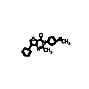 COc1ccc(-n2c(C)nc3c(-c4ccccc4)csc3c2=O)cc1